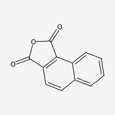 O=C1OC(=O)c2c1ccc1ccccc21